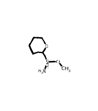 CO[SiH](N)C1CCCCO1